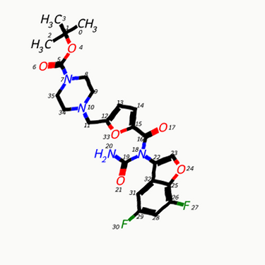 CC(C)(C)OC(=O)N1CCN(Cc2ccc(C(=O)N(C(N)=O)c3coc4c(F)cc(F)cc34)o2)CC1